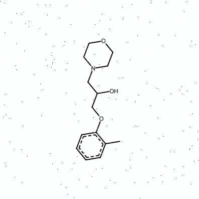 [CH2]c1ccccc1OCC(O)CN1CCOCC1